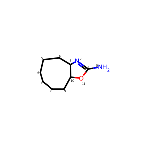 NC1=NC2CCCCCCC2O1